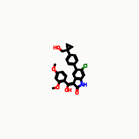 COc1ccc(/C(O)=C2/C(=O)Nc3cc(Cl)c(-c4ccc(C5(CO)CC5)cc4)cc32)c(OC)c1